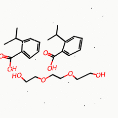 CC(C)c1ccccc1C(=O)O.CC(C)c1ccccc1C(=O)O.OCCOCCOCCO